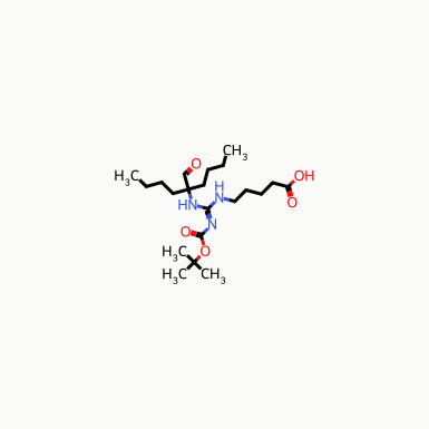 CCCCC(C=O)(CCCC)N/C(=N\C(=O)OC(C)(C)C)NCCCCC(=O)O